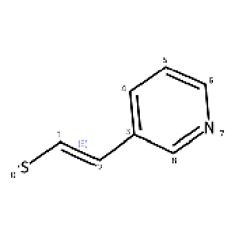 [S]/C=C/c1cccnc1